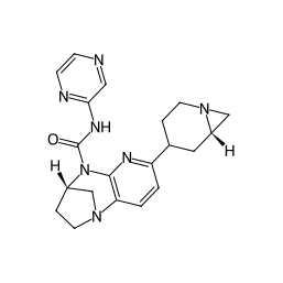 O=C(Nc1cnccn1)N1c2nc(C3CCN4C[C@@H]4C3)ccc2N2CC[C@H]1C2